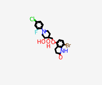 O=C1CCc2c(OC[C@]3(O)CCN(c4ccc(Cl)cc4F)C[C@H]3O)ccc(Br)c2N1